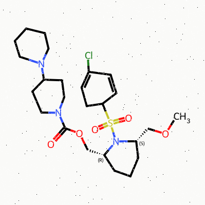 COC[C@@H]1CCC[C@H](COC(=O)N2CCC(N3CCCCC3)CC2)N1S(=O)(=O)C1C=CC(Cl)=CC1